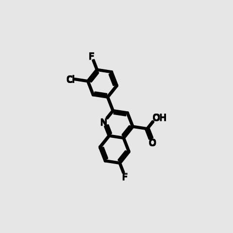 O=C(O)c1cc(-c2ccc(F)c(Cl)c2)nc2ccc(F)cc12